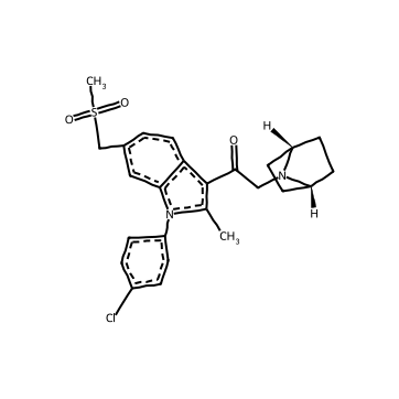 Cc1c(C(=O)CN2[C@H]3CC[C@@H]2CC3)c2ccc(CS(C)(=O)=O)cc2n1-c1ccc(Cl)cc1